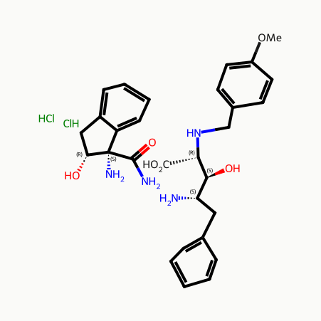 COc1ccc(CN[C@@H](C(=O)O)[C@@H](O)[C@@H](N)Cc2ccccc2)cc1.Cl.Cl.NC(=O)[C@]1(N)c2ccccc2C[C@H]1O